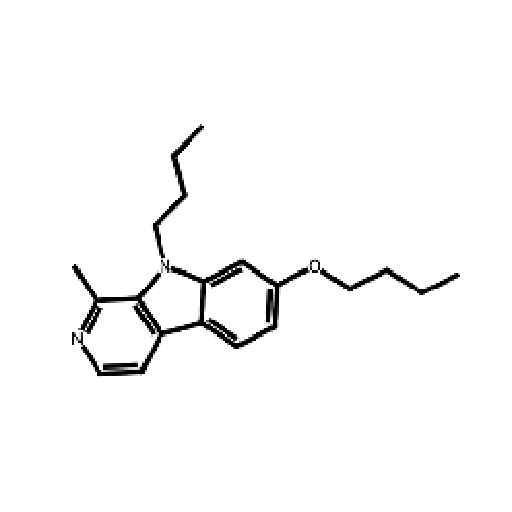 CCCCOc1ccc2c3ccnc(C)c3n(CCCC)c2c1